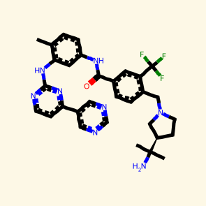 Cc1ccc(NC(=O)c2ccc(CN3CC[C@@H](C(C)(C)N)C3)c(C(F)(F)F)c2)cc1Nc1nccc(-c2cncnc2)n1